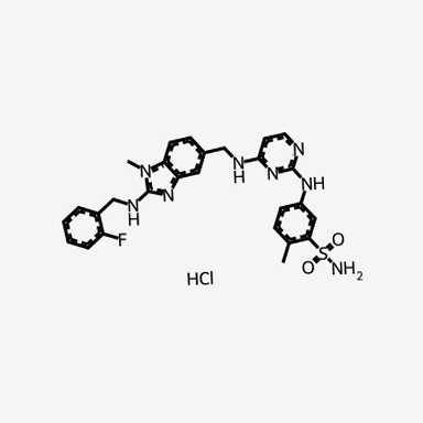 Cc1ccc(Nc2nccc(NCc3ccc4c(c3)nc(NCc3ccccc3F)n4C)n2)cc1S(N)(=O)=O.Cl